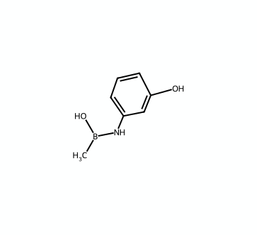 CB(O)Nc1cccc(O)c1